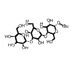 CC(C)(C)O[C@@H]1OC(CO)[C@@H](O[C@@H]2OC(CO)[C@H](O)C(O[C@H]3OC(CO)[C@H](O)C(O)[C@@H]3O)[C@@H]2O)C(O)[C@@H]1O